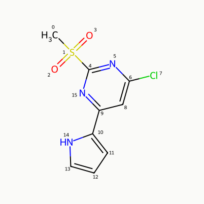 CS(=O)(=O)c1nc(Cl)cc(-c2ccc[nH]2)n1